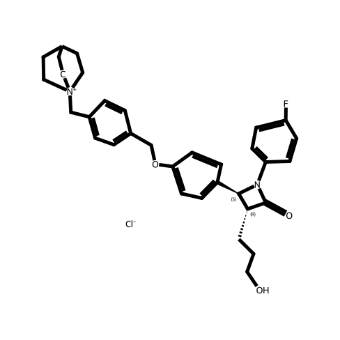 O=C1[C@H](CCCO)[C@@H](c2ccc(OCc3ccc(C[N+]45CCC(CC4)CC5)cc3)cc2)N1c1ccc(F)cc1.[Cl-]